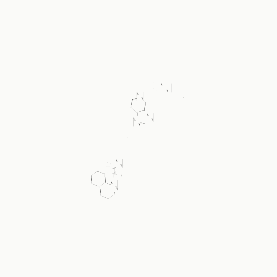 COC(N)Cc1nc(C)cc2c1ncn2CCOCCN(C)S(=O)(=O)c1cccc2cccnc12